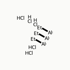 C[CH2][Al].C[CH2][Al].C[CH2][Al].Cl.Cl.Cl.Cl.Cl